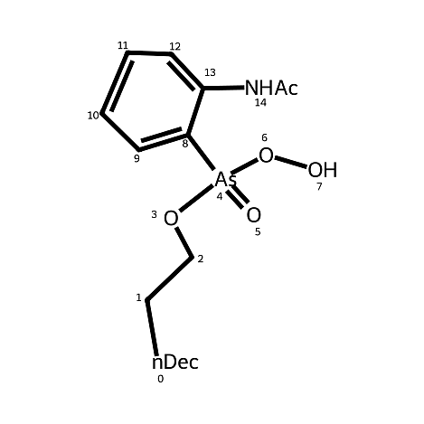 CCCCCCCCCCCCO[As](=O)(OO)c1ccccc1NC(C)=O